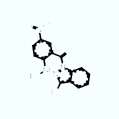 CNc1ccc([N+](=O)[O-])cc1C(=O)n1nc(O)c2ccccc21